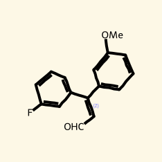 COc1cccc(/C(=C/C=O)c2cccc(F)c2)c1